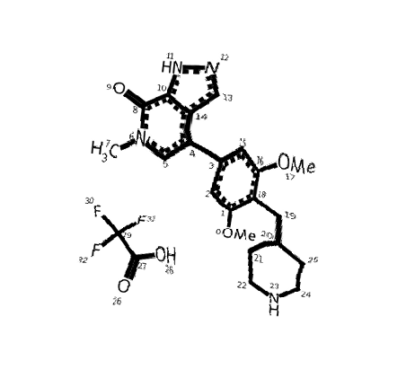 COc1cc(-c2cn(C)c(=O)c3[nH]ncc23)cc(OC)c1CC1CCNCC1.O=C(O)C(F)(F)F